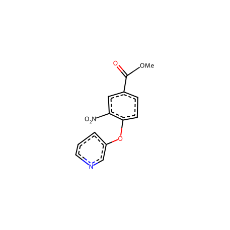 COC(=O)c1ccc(Oc2cccnc2)c([N+](=O)[O-])c1